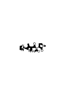 Cc1c(-n2nccn2)sc2[nH]c(=O)n([C@@H]3CCN(C)C3=O)c(=O)c12